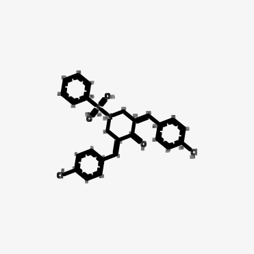 O=C1C(=Cc2ccc(Cl)cc2)CN(S(=O)(=O)c2ccccc2)CC1=Cc1ccc(Cl)cc1